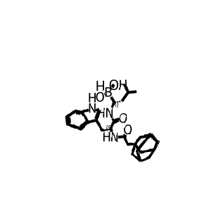 CC(C)C[C@H](NC(=O)[C@H](Cc1c[nH]c2ccccc12)NC(=O)CC12CC3CC(CC(C3)C1)C2)B(O)O